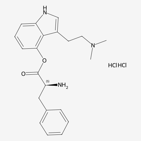 CN(C)CCc1c[nH]c2cccc(OC(=O)[C@@H](N)Cc3ccccc3)c12.Cl.Cl